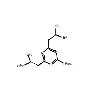 CCCCCc1nc(CC(O)CCC)nc(CC(O)CCC)n1